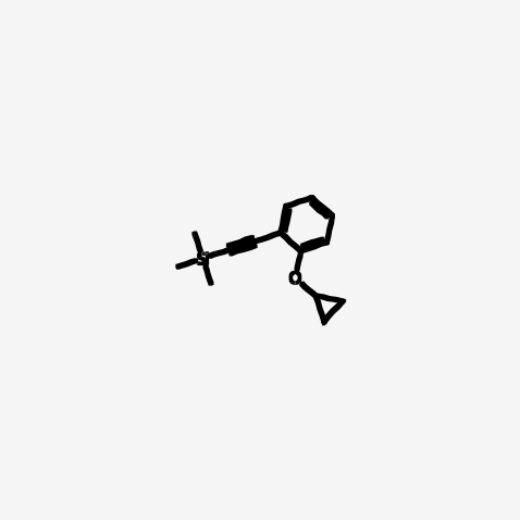 C[Si](C)(C)C#Cc1ccccc1OC1CC1